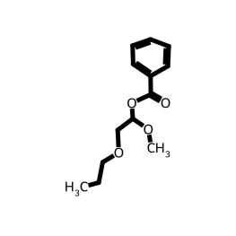 CCCOCC(OC)OC(=O)c1ccccc1